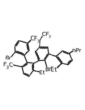 CCCc1ccc(CC)c(-c2cc(CC(F)(F)F)cc(-c3c(CC)[c]cc(C(F)(F)F)c3-c3cc(C(F)(F)F)ccc3Br)c2Br)c1